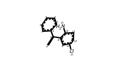 C=C(c1ccccc1)c1cc(Cl)ccc1N